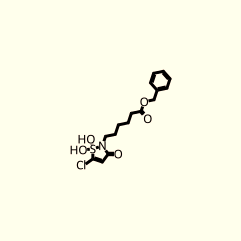 O=C(CCCCCN1C(=O)C=C(Cl)S1(O)O)OCc1ccccc1